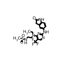 CCN(CCNS(C)(=O)=O)c1nc(Nc2ccc3c(c2)CC(=O)N3)ncc1C(F)(F)F